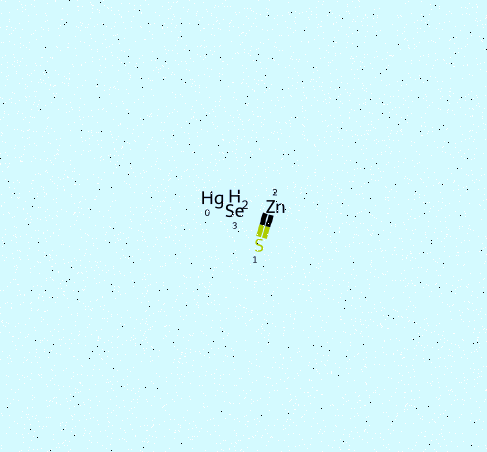 [Hg].[S]=[Zn].[SeH2]